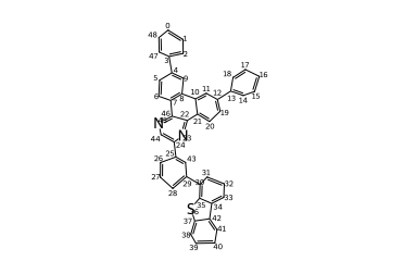 c1ccc(-c2ccc3c(c2)c2cc(-c4ccccc4)ccc2c2nc(-c4cccc(-c5cccc6c5sc5ccccc56)c4)cnc32)cc1